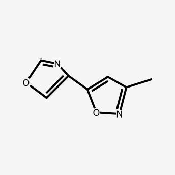 Cc1cc(-c2co[c]n2)on1